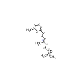 C/C(=C\CSc1cccc(C)c1)CCC1OC1(C)C